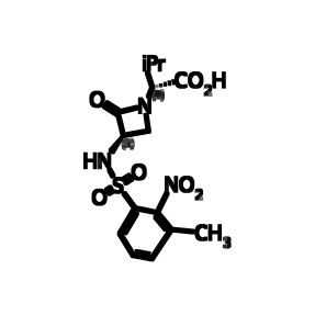 Cc1cccc(S(=O)(=O)N[C@@H]2CN([C@@H](C(=O)O)C(C)C)C2=O)c1[N+](=O)[O-]